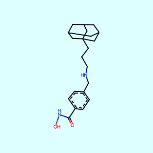 O=C(NO)c1ccc(CNCCCC23CC4CC(CC(C4)C2)C3)cc1